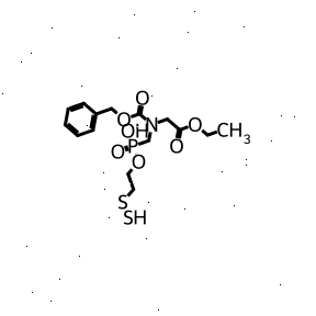 CCOC(=O)CN(CP(=O)(O)OCCSS)C(=O)OCc1ccccc1